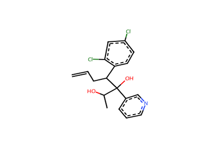 C=CCC(c1ccc(Cl)cc1Cl)C(O)(c1cccnc1)C(C)O